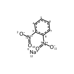 O=[N+]([O-])c1ccccc1[N+](=O)[O-].[Na+]